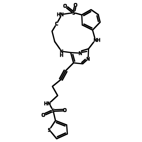 O=S1(=O)NCCCNc2nc(ncc2C#CCCNS(=O)(=O)c2cccs2)Nc2cccc1c2